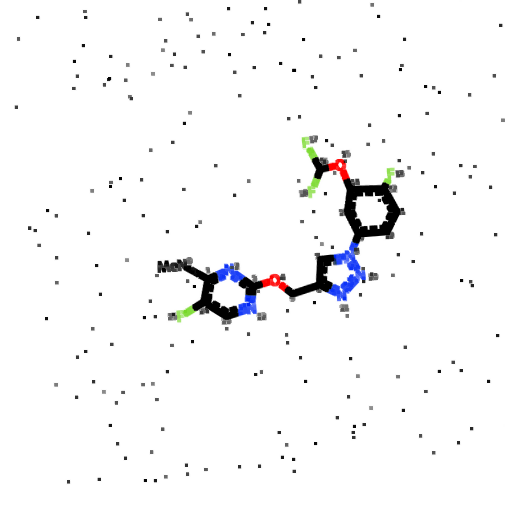 CNc1nc(OCc2cn(-c3ccc(F)c(OC(F)F)c3)nn2)ncc1F